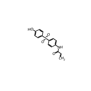 C=CC(=O)Nc1ccc(S(=O)(=O)c2ccc(O)cc2)cc1